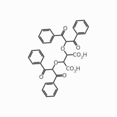 O=C(c1ccccc1)C(OC(C(=O)O)C(OC(C(=O)c1ccccc1)C(=O)c1ccccc1)C(=O)O)C(=O)c1ccccc1